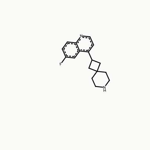 Fc1ccc2nccc(C3CC4(CCNCC4)C3)c2c1